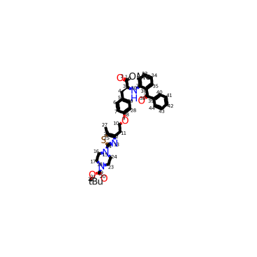 COC(=O)[C@H](Cc1ccc(OCCc2nc(N3CCN(C(=O)OC(C)(C)C)CC3)sc2C)cc1)Nc1ccccc1C(=O)c1ccccc1